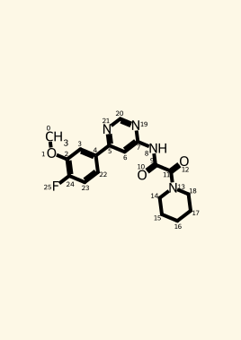 COc1cc(-c2cc(NC(=O)C(=O)N3CCCCC3)ncn2)ccc1F